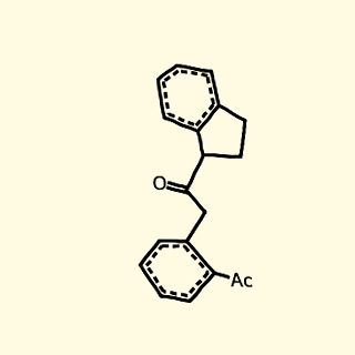 CC(=O)c1ccccc1CC(=O)C1CCc2ccccc21